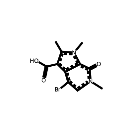 Cc1c(C(=O)O)c2c(Br)cn(C)c(=O)c2n1C